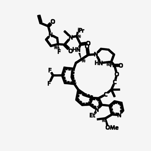 C=CC(=O)N1CC[C@](F)(C(=O)N(C)[C@H](C(=O)N[C@H]2Cc3cc(cc(C(F)F)c3)-c3ccc4c(c3)c(c(-c3cccnc3[C@H](C)OC)n4CC)CC(C)(C)COC(=O)[C@@H]3CCCN(N3)C2=O)C(C)C)C1